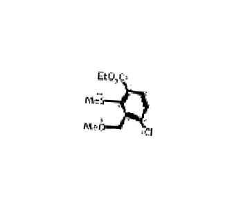 CCOC(=O)c1ccc(Cl)c(COC)c1SC